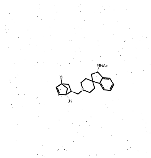 CC(=O)N[C@H]1CC2(CCN(C[C@@H]3C[C@H]4C=C[C@H]3C4)CC2)c2ccccc21